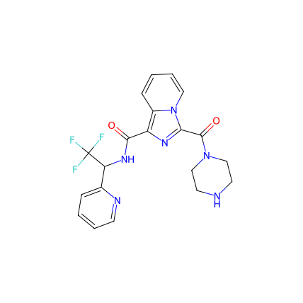 O=C(NC(c1ccccn1)C(F)(F)F)c1nc(C(=O)N2CCNCC2)n2ccccc12